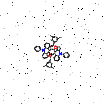 Cc1cc(C)cc(-c2cc3c(o2)C2(c4ccccc4N(c4ccccc4)c4ccccc42)c2cc(-c4cc(C)cc(C)c4)oc2C32c3ccccc3N(c3ccccc3)c3ccccc32)c1